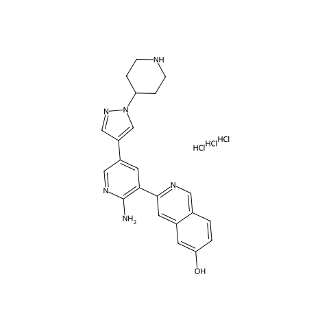 Cl.Cl.Cl.Nc1ncc(-c2cnn(C3CCNCC3)c2)cc1-c1cc2cc(O)ccc2cn1